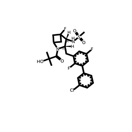 CC(C)(O)C(=O)N1C2CC(F)(C2)[C@H](NS(C)(=O)=O)[C@@H]1Cc1cc(F)cc(-c2cccc(Cl)c2)c1F